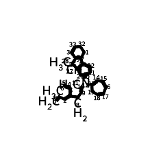 C=C/C=C(\C=C/C)C(=C)/C=C(\C)N(C1=CC=CC=CC1)c1ccc2c(c1)C(C)(C)C1=C2CCC=C1